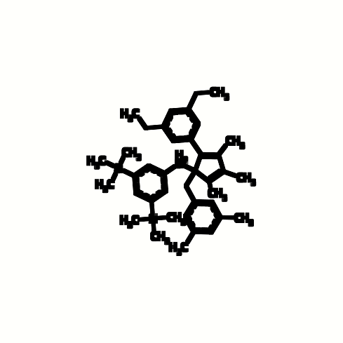 CCc1cc(CC)cc(C2=C(C)C(C)=C(C)C2(Cc2cc(C)cc(C)c2)[SiH2]c2cc([Si](C)(C)C)cc([Si](C)(C)C)c2)c1